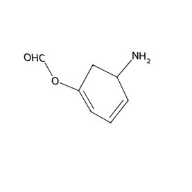 NC1C=CC=C(OC=O)C1